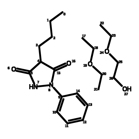 CCCCC1C(=O)NN(c2ccccc2)C1=O.CCOCC.CCOCCO